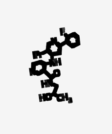 CC(O)CNC(=O)c1cnccc1Nc1cc(-c2ccccc2F)ncc1C(C)C